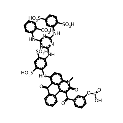 Cn1c(=O)c(C(=O)c2cccc(OS(=O)O)c2)c2c3c(c(Nc4cc(Nc5nc(Nc6ccccc6C(=O)O)nc(Nc6cc(S(=O)(=O)O)ccc6S(=O)(=O)O)n5)c(S(=O)(=O)O)cc4S(=O)(=O)O)ccc31)C(=O)c1ccccc1-2